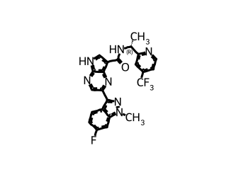 C[C@@H](NC(=O)c1c[nH]c2ncc(-c3nn(C)c4cc(F)ccc34)nc12)c1cc(C(F)(F)F)ccn1